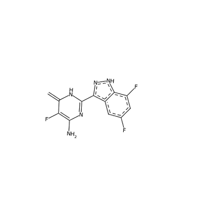 C=C1NC(c2n[nH]c3c(F)cc(F)cc23)=NC(N)=C1F